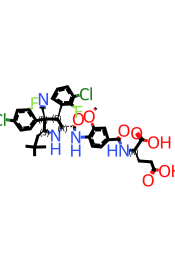 COc1cc(C(=O)N[C@H](CCC(=O)O)C(=O)O)ccc1NC(=O)[C@@H]1N[C@@H](CC(C)(C)C)[C@](C#N)(c2ccc(Cl)cc2F)[C@H]1c1cccc(Cl)c1F